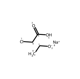 CC[O-].O=C(O)CCl.[Na+]